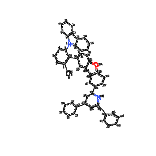 N#Cc1cccc(-n2c3ccccc3c3ccccc32)c1-c1ccc2oc3ccc(-c4cc(-c5ccccc5)cc(-c5ccccc5)n4)cc3c2c1